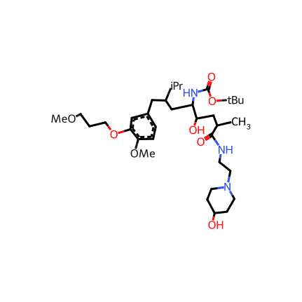 COCCCOc1cc(CC(CC(NC(=O)OC(C)(C)C)C(O)CC(C)C(=O)NCCN2CCC(O)CC2)C(C)C)ccc1OC